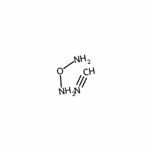 C#N.NON